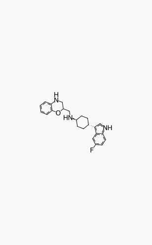 Fc1ccc2[nH]cc([C@H]3CC[C@H](NCC4CNc5ccccc5O4)CC3)c2c1